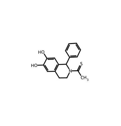 CC(=S)N1CCc2cc(O)c(O)cc2C1c1ccccc1